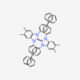 Cc1cc2c(cc1C)N(c1ccc(-c3ccccc3)cc1)C(=C1N(c3ccc(-c4ccccc4)cc3)c3cc(C)c(C)cc3N1c1ccc(-c3ccccc3)cc1)N2c1ccc(-c2ccccc2)cc1